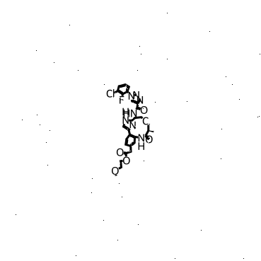 COCCOC(=O)Cc1ccc2c(c1)NC(=O)[C@H](C)CCC[C@H](NC(=O)c1cn(-c3cccc(Cl)c3F)nn1)c1nc-2c[nH]1